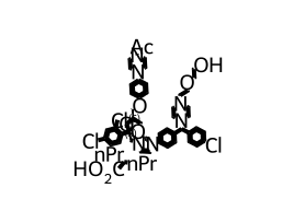 CC(=O)N1CCN(c2ccc(OC[C@H]3CO[C@](Cn4ccnc4)(c4ccc(Cl)cc4Cl)O3)cc2)CC1.CCCC(CCC)C(=O)O.OCCOCCN1CCN(C(c2ccccc2)c2ccc(Cl)cc2)CC1